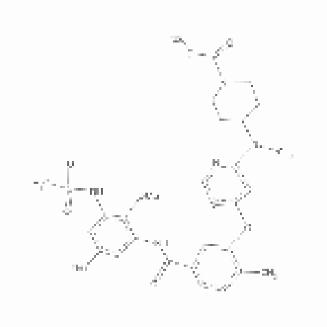 COc1c(NC(=O)c2ccc(C)c(Oc3cc(N(C)C4CCN(C(=O)OC(C)(C)C)CC4)ncn3)c2)cc(C(C)(C)C)cc1NS(C)(=O)=O